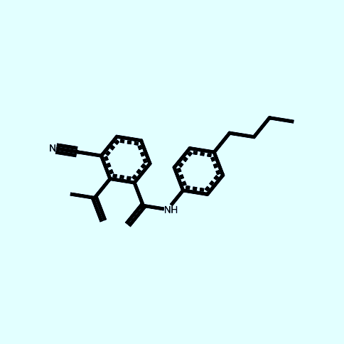 C=C(Nc1ccc(CCCC)cc1)c1cccc(C#N)c1C(=C)C